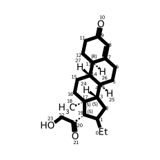 CCC1C[C@H]2[C@@H]3CCC4=CC(=O)CC[C@@H]4[C@H]3CC[C@]2(C)[C@H]1C(=O)CO